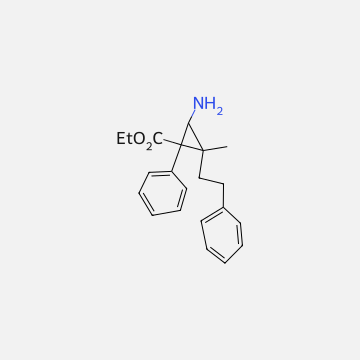 CCOC(=O)C1(c2ccccc2)C(N)C1(C)CCc1ccccc1